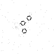 Nc1ccc(Oc2ccc(N)c(N)c2Oc2ccc(N)cc2)cc1